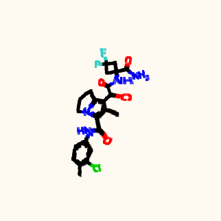 Cc1ccc(NC(=O)c2c(C)c(C(=O)C(=O)NC3(C(N)=O)CC(F)(F)C3)c3n2CCC3)cc1Cl